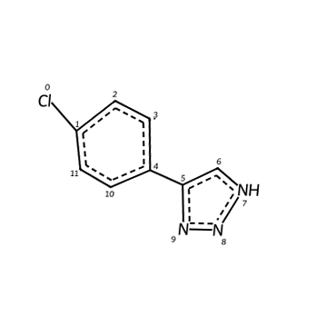 Clc1c[c]c(-c2c[nH]nn2)cc1